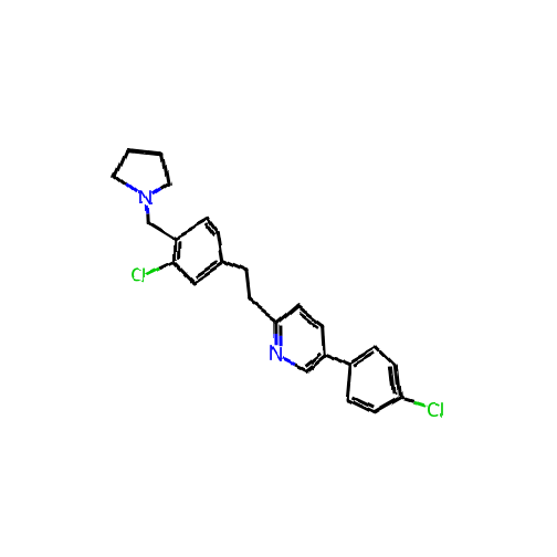 Clc1ccc(-c2ccc(CCc3ccc(CN4CCCC4)c(Cl)c3)nc2)cc1